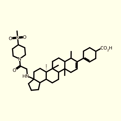 CC1C(C2=CCC(C(=O)O)CC2)=CCC2(C)C1CCC1(C)C2CCC2C3CCCC3(NCC(=O)N3CCC(S(C)(=O)=O)CC3)CC[C@]21C